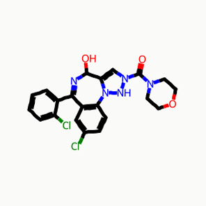 O=C(N1CCOCC1)N1C=C2C(O)N=C(c3ccccc3Cl)c3cc(Cl)ccc3N2N1